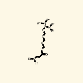 CCN(CC)CCC(=O)SCOCOCOP(N(C(C)C)C(C)C)N(C(C)C)C(C)C